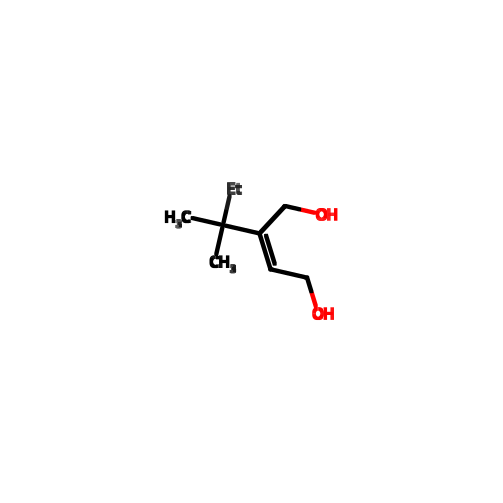 CCC(C)(C)C(=CCO)CO